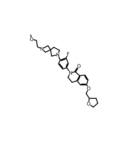 COCCN1CC2(CCN(c3ccc(N4CCc5cc(OCC6CCCO6)ccc5C4=O)cc3F)C2)C1